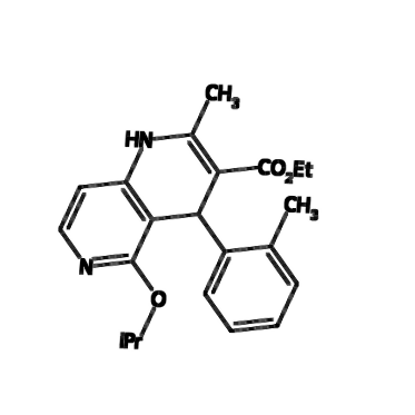 CCOC(=O)C1=C(C)Nc2ccnc(OC(C)C)c2C1c1ccccc1C